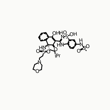 CC(C)CC[C@@]1(NS(=O)(=O)CCN2CCOCC2)C(=O)C(C2=NS(O)(O)c3cc(NS(C)(=O)=O)ccc3N2)=C(O)c2ccccc21